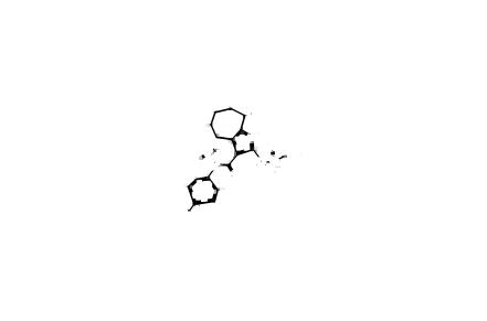 CCCCS(=O)(=O)Nc1sc2c(c1C(=O)N(c1ccc(Cl)cc1)S(=O)(=O)CCCC)CCCCC2